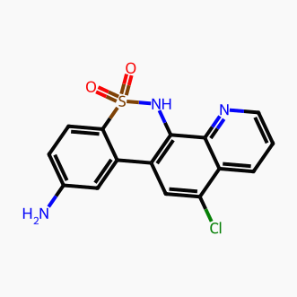 Nc1ccc2c(c1)-c1cc(Cl)c3cccnc3c1NS2(=O)=O